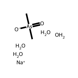 C[As](C)(=O)[O-].O.O.O.O.[Na+]